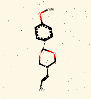 CCCC=C[C@H]1CO[C@H](c2ccc(OCCCC)cc2)OC1